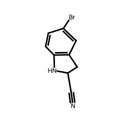 N#CC1Cc2cc(Br)ccc2N1